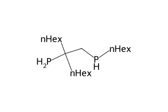 CCCCCCPCC(P)(CCCCCC)CCCCCC